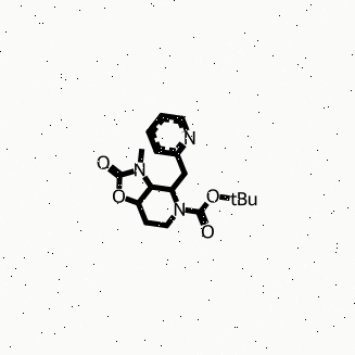 CN1C(=O)OC2CCN(C(=O)OC(C)(C)C)C(Cc3ccccn3)C21